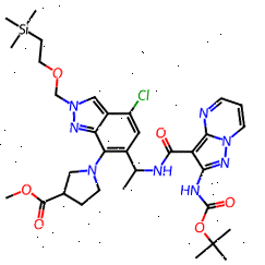 COC(=O)C1CCN(c2c(C(C)NC(=O)c3c(NC(=O)OC(C)(C)C)nn4cccnc34)cc(Cl)c3cn(COCC[Si](C)(C)C)nc23)C1